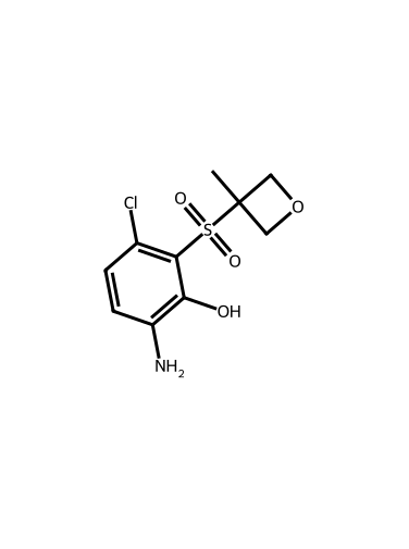 CC1(S(=O)(=O)c2c(Cl)ccc(N)c2O)COC1